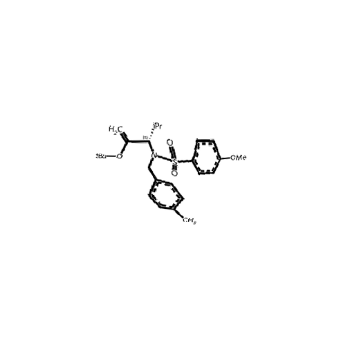 C=C(OC(C)(C)C)[C@H](C(C)C)N(Cc1ccc(C)cc1)S(=O)(=O)c1ccc(OC)cc1